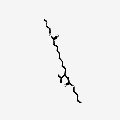 CCCCOC(=O)CCCCCCCCC(CC(=O)OCCCC)C(C)C